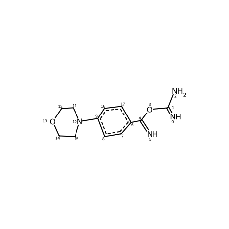 N=C(N)OC(=N)c1ccc(N2CCOCC2)cc1